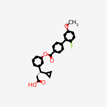 COc1ccc(F)c(-c2ccc(C(=O)Oc3cccc([C@@H](CC(=O)O)C4CC4)c3)cc2)c1